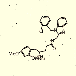 COc1ccc(CC(C)CCC(=O)[N]Cc2nc3ccccc3n2Cc2ccccc2Cl)c(OC)c1